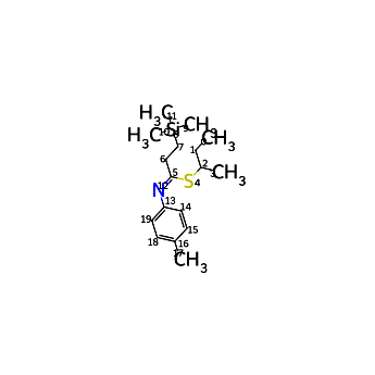 CCC(C)SC(CC[Si](C)(C)C)=Nc1ccc(C)cc1